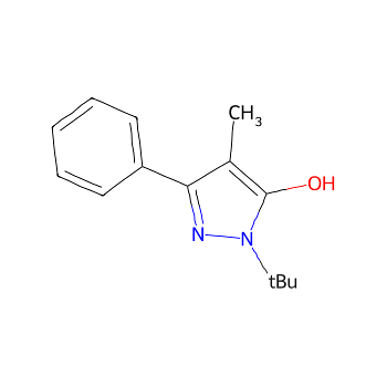 Cc1c(-c2ccccc2)nn(C(C)(C)C)c1O